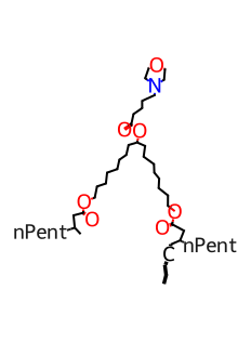 C=C=C=C=CC(CCCCC)CC(=O)OCCCCCCCCC(CCCCCCCCOC(=O)CC(C)CCCCC)OC(=O)CCCCN1CCOCC1